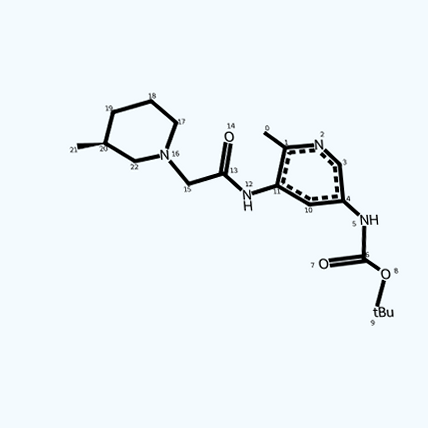 Cc1ncc(NC(=O)OC(C)(C)C)cc1NC(=O)CN1CCC[C@H](C)C1